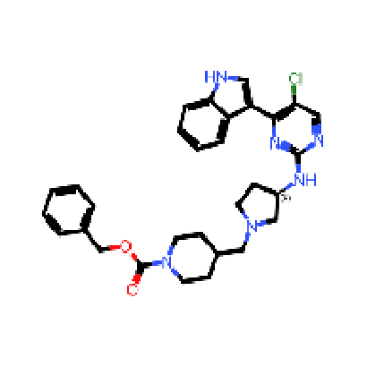 O=C(OCc1ccccc1)N1CCC(CN2CC[C@@H](Nc3ncc(Cl)c(-c4c[nH]c5ccccc45)n3)C2)CC1